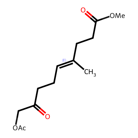 COC(=O)CC/C(C)=C/CCC(=O)COC(C)=O